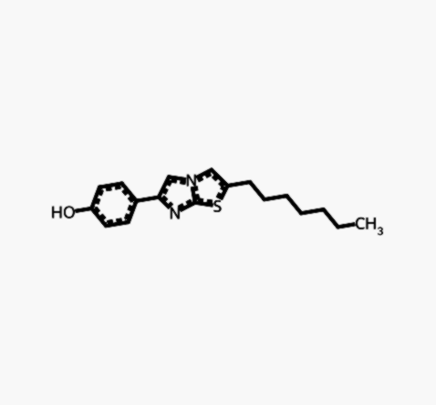 CCCCCCCc1cn2cc(-c3ccc(O)cc3)nc2s1